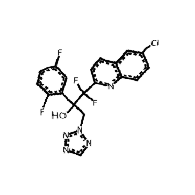 OC(Cn1ncnn1)(c1cc(F)ccc1F)C(F)(F)c1ccc2cc(Cl)ccc2n1